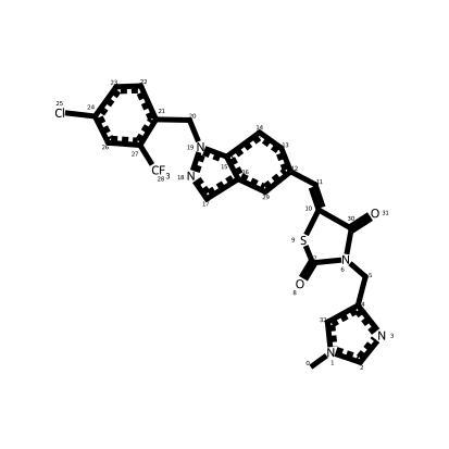 Cn1cnc(CN2C(=O)SC(=Cc3ccc4c(cnn4Cc4ccc(Cl)cc4C(F)(F)F)c3)C2=O)c1